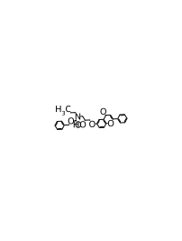 CCCN(CC(O)COc1ccc2oc(-c3ccccc3)cc(=O)c2c1)C(=O)OCc1ccccc1